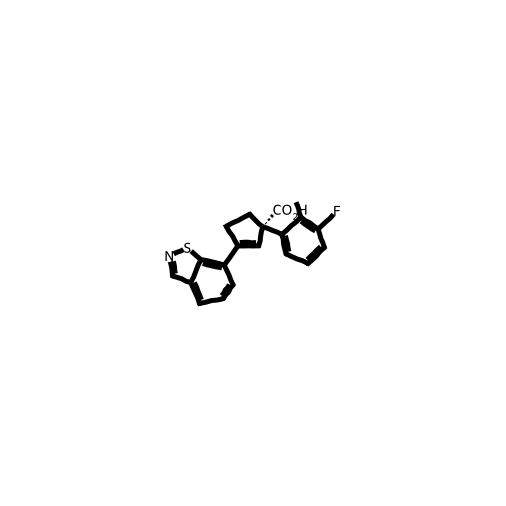 Cc1c(F)cccc1[C@@]1(C(=O)O)C=C(c2cccc3cnsc23)CC1